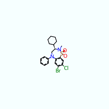 CN1[C@H](C2CCCCC2)CN(c2ccccc2)c2cc(Br)c(Cl)cc2S1(=O)=O